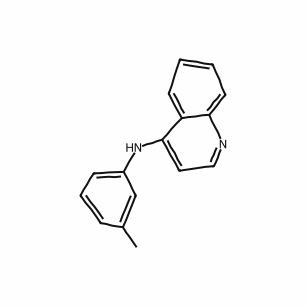 Cc1cccc(Nc2ccnc3ccccc23)c1